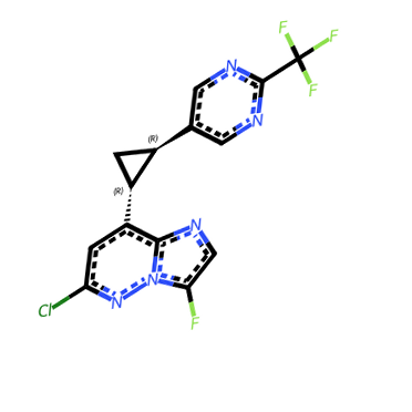 Fc1cnc2c([C@@H]3C[C@H]3c3cnc(C(F)(F)F)nc3)cc(Cl)nn12